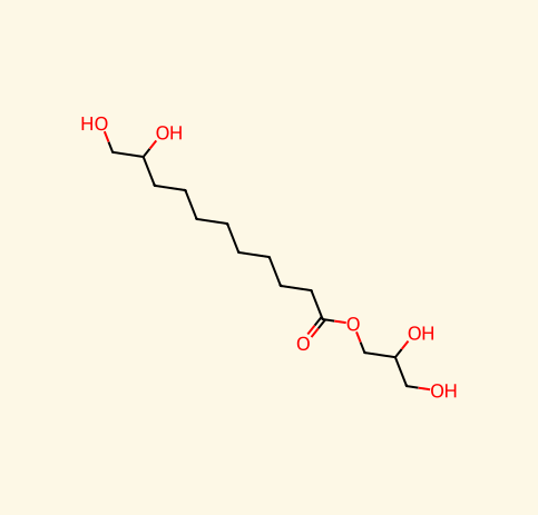 O=C(CCCCCCCCC(O)CO)OCC(O)CO